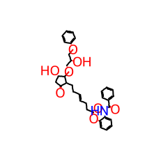 O=C(CCC=CCCC1C(=O)CC(O)C1OCC(O)COc1ccccc1)Oc1ccccc1NC(=O)c1ccccc1